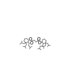 CC(C)CCC1C(OC(=O)CCC(=O)OC2CCCC(CC(C)C)(CC(C)C)C2CCC(C)C)CCCC1(CC(C)C)CC(C)C